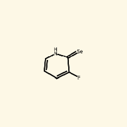 Fc1ccc[nH]c1=[Se]